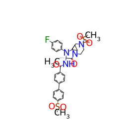 CC[C@@](NC(=O)c1ccc(-c2ccc(S(C)(=O)=O)cc2)cc1)(C(=O)N1CCN(S(C)(=O)=O)CC1)N(c1ccc(F)cc1)C1CC1